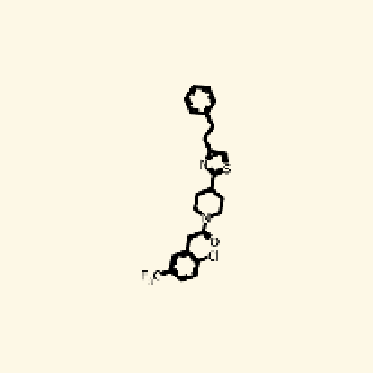 O=C(Cc1cc(C(F)(F)F)ccc1Cl)N1CCC(c2nc(CCc3ccccc3)cs2)CC1